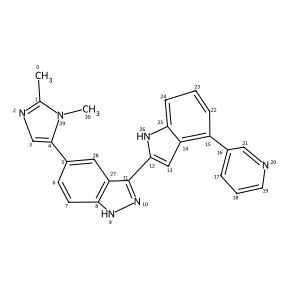 Cc1ncc(-c2ccc3[nH]nc(-c4cc5c(-c6cccnc6)cccc5[nH]4)c3c2)n1C